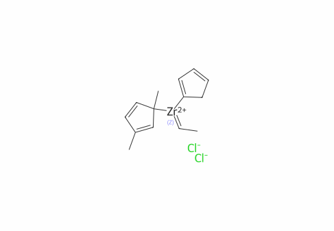 C/[CH]=[Zr+2](\[C]1=CC=CC1)[C]1(C)C=CC(C)=C1.[Cl-].[Cl-]